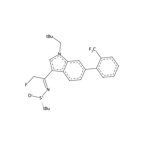 CC(C)(C)Cn1cc(C(CF)=N[S@@+]([O-])C(C)(C)C)c2ccc(-c3ccccc3C(F)(F)F)cc21